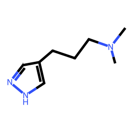 CN(C)CCCc1[c]n[nH]c1